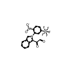 O=CC(=O)c1c2ccccc2cn1-c1cc(S(F)(F)(F)(F)F)ccc1[N+](=O)[O-]